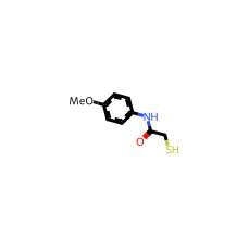 COc1ccc(NC(=O)CS)cc1